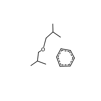 CC(C)COCC(C)C.c1ccccc1